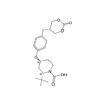 CC(C)(C)[C@@H]1C[C@@H](Oc2ccc(CC3COS(=O)OC3)cc2)CCN1C(=O)O